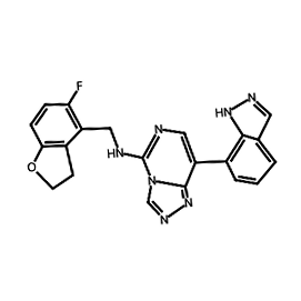 Fc1ccc2c(c1CNc1ncc(-c3cccc4cn[nH]c34)c3nncn13)CCO2